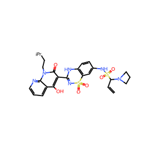 C=CC(N1CCC1)S(=O)(=O)Nc1ccc2c(c1)S(=O)(=O)N=C(c1c(O)c3cccnc3n(CCC(C)C)c1=O)N2